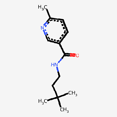 Cc1ccc(C(=O)NCCC(C)(C)C)cn1